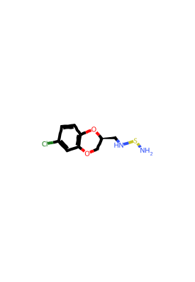 NSNC[C@H]1COc2cc(Cl)ccc2O1